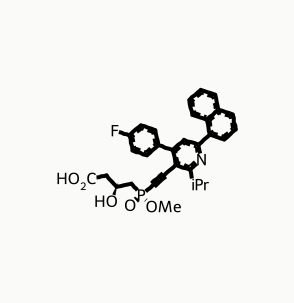 COP(=O)(C#Cc1c(-c2ccc(F)cc2)cc(-c2cccc3ccccc23)nc1C(C)C)C[C@@H](O)CC(=O)O